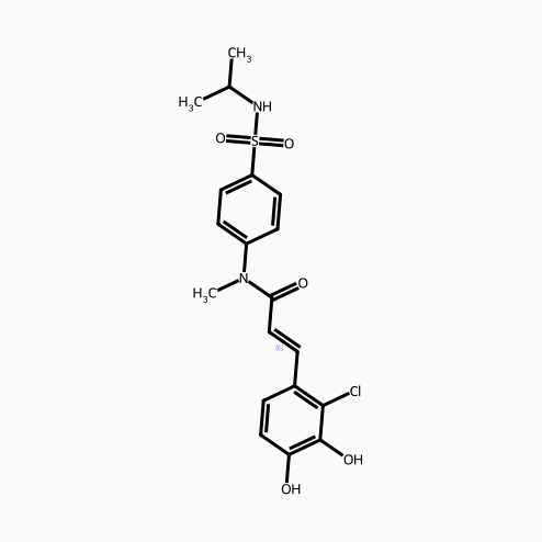 CC(C)NS(=O)(=O)c1ccc(N(C)C(=O)/C=C/c2ccc(O)c(O)c2Cl)cc1